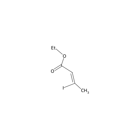 CCOC(=O)/C=C(/C)I